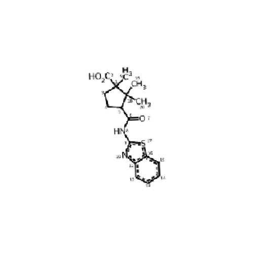 CC1(C(=O)O)CCC(C(=O)Nc2nc3ccccc3s2)C1(C)C